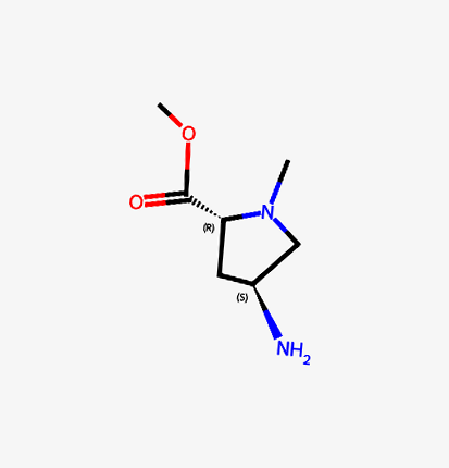 COC(=O)[C@H]1C[C@H](N)CN1C